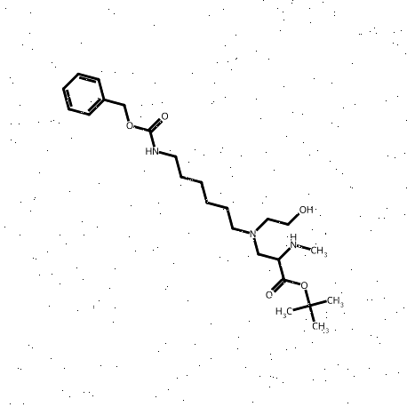 CNC(CN(CCO)CCCCCCNC(=O)OCc1ccccc1)C(=O)OC(C)(C)C